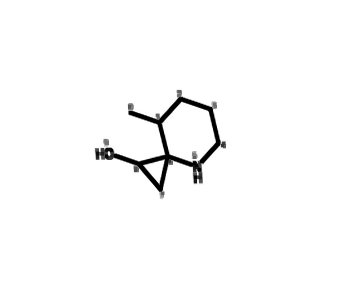 CC1CCCNC12CC2O